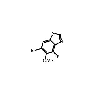 COc1c(Br)cc2scnc2c1F